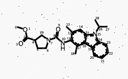 COC(=O)C1CCN(C(=O)Nc2c(C)cc3c(c2C)c2ccccc2n3C(C)C)C1